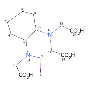 O=C(O)CN(CI)C1CCCCC1N(CC(=O)O)CC(=O)O